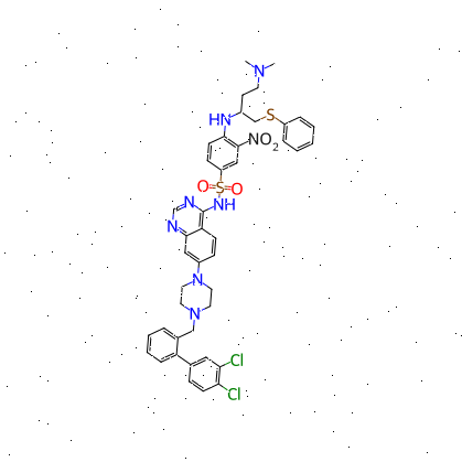 CN(C)CCC(CSc1ccccc1)Nc1ccc(S(=O)(=O)Nc2ncnc3cc(N4CCN(Cc5ccccc5-c5ccc(Cl)c(Cl)c5)CC4)ccc23)cc1[N+](=O)[O-]